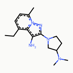 CCc1ccc(C)n2nc(N3CCC(N(C)C)C3)c(N)c12